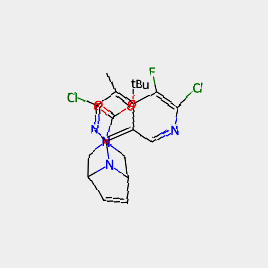 Cc1c(Cl)nc(N2C3C=CC2CN(C(=O)OC(C)(C)C)C3)c2cnc(Cl)c(F)c12